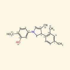 Cc1ccc(C2CN(c3ccc(C(=O)O)c(O)c3)C=C2C#N)c(C)c1